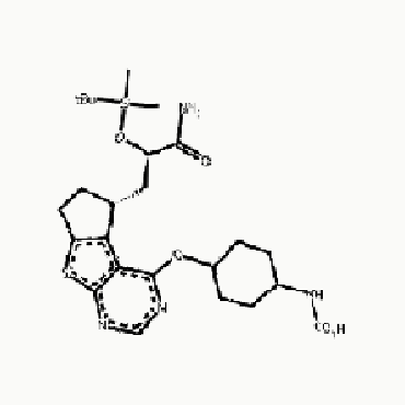 CC(C)(C)[Si](C)(C)O[C@H](C[C@H]1CCc2sc3ncnc(OC4CCC(NC(=O)O)CC4)c3c21)C(N)=O